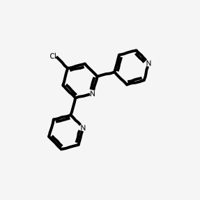 Clc1cc(-c2ccncc2)nc(-c2ccccn2)c1